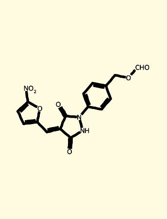 O=COCc1ccc(N2NC(=O)/C(=C/c3ccc([N+](=O)[O-])o3)C2=O)cc1